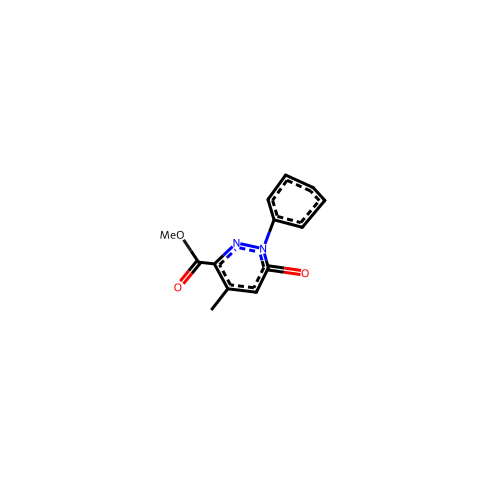 COC(=O)c1nn(-c2ccccc2)c(=O)cc1C